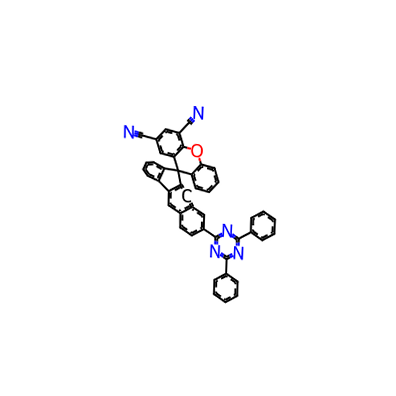 N#Cc1cc(C#N)c2c(c1)C1(c3ccccc3O2)c2ccccc2-c2cc3ccc(-c4nc(-c5ccccc5)nc(-c5ccccc5)n4)cc3cc21